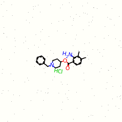 Cc1ccc(C(=O)OC2CCN(Cc3ccccc3)CC2)c(N)c1C.Cl